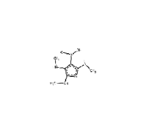 CNc1sc(NC)c(B(O)O)c1NC